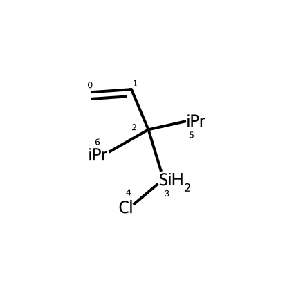 C=CC([SiH2]Cl)(C(C)C)C(C)C